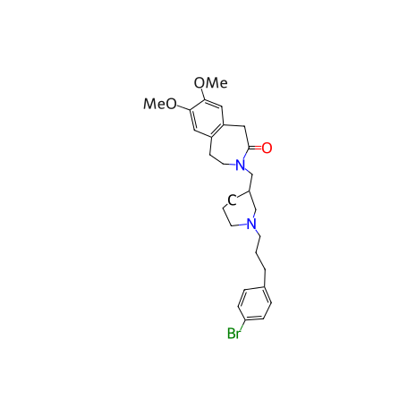 COc1cc2c(cc1OC)CC(=O)N(CC1CCCN(CCCc3ccc(Br)cc3)C1)CC2